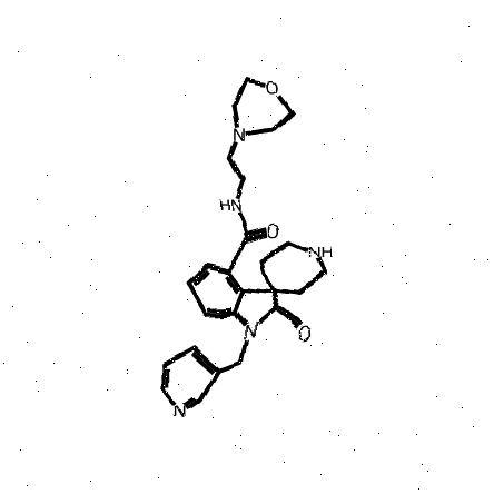 O=C(NCCN1CCOCC1)c1cccc2c1C1(CCNCC1)C(=O)N2Cc1cccnc1